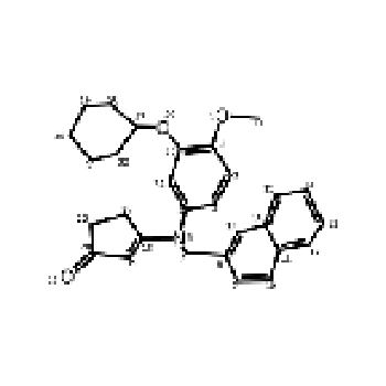 COc1ccc(N(Cc2ccc3ccccc3c2)C2=CC(=O)CC2)cc1OC1CCCCC1